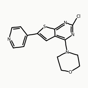 Clc1nc(N2CCOCC2)c2cc(-c3ccncc3)sc2n1